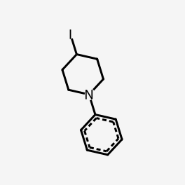 IC1CCN(c2ccccc2)CC1